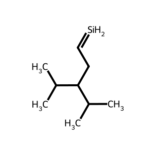 CC(C)C(CC=[SiH2])C(C)C